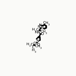 Cc1cccn2c(C(C)(C)NC(=O)C3C4CN(C(=O)OC(C)(C)C)CC43)nnc12